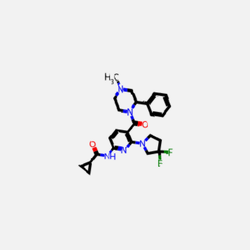 CN1CCN(C(=O)c2ccc(NC(=O)C3CC3)nc2N2CCC(F)(F)C2)C(c2ccccc2)C1